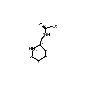 CCC(=O)NCC1CCCCN1